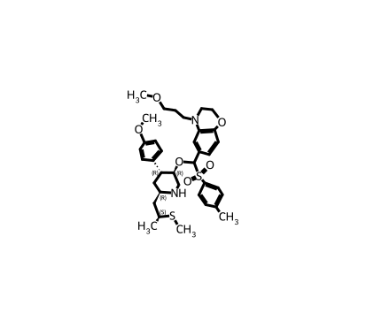 COCCCN1CCOc2ccc(C(O[C@H]3CN[C@@H](C[C@H](C)SC)C[C@@H]3c3ccc(OC)cc3)S(=O)(=O)c3ccc(C)cc3)cc21